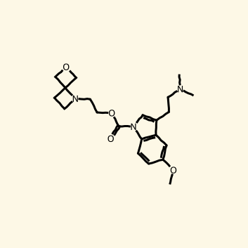 COc1ccc2c(c1)c(CCN(C)C)cn2C(=O)OCCN1CCC12COC2